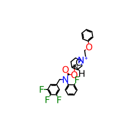 O=C(O[C@H]1C[N+]2(CCOc3ccccc3)CCC1CC2)N(Cc1cc(F)c(F)c(F)c1)c1ccccc1F